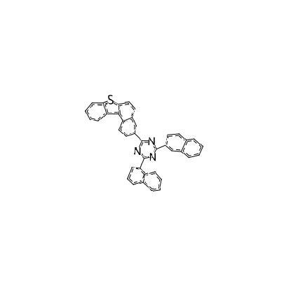 c1ccc2cc(-c3nc(-c4ccc5c(ccc6sc7ccccc7c65)c4)nc(-c4cccc5ccccc45)n3)ccc2c1